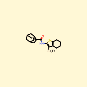 CCOC(=O)c1c(NC(=O)C23CC4CC(CC2C4)C3)sc2c1CCCC2